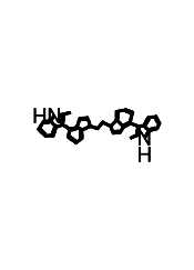 Cc1[nH]c2ccccc2c1-c1cccc2c1C=CC2CCC1C=Cc2c(-c3c(C)[nH]c4ccccc34)cccc21